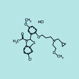 COCCN(CCCOc1ccc(OC)cc1C1Sc2cc(Cl)ccc2N1C(C)=O)CC1CC1.Cl